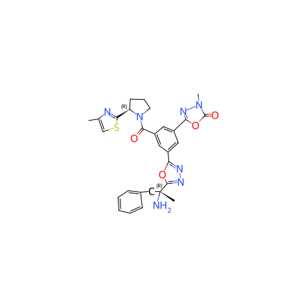 Cc1csc([C@H]2CCCN2C(=O)c2cc(-c3nnc([C@](C)(N)Cc4ccccc4)o3)cc(-c3nn(C)c(=O)o3)c2)n1